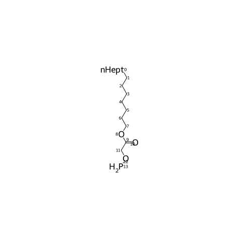 CCCCCCCCCCCCCCOC(=O)COP